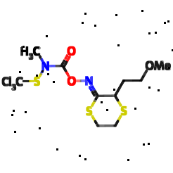 COCCC1SCCSC1=NOC(=O)N(C)SC(Cl)(Cl)Cl